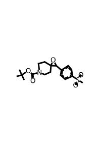 CC(C)(C)OC(=O)N1CCC2(CC1)OC2c1ccc(S(C)(=O)=O)cc1